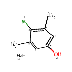 Cc1cc(O)cc(C)c1Br.[NaH]